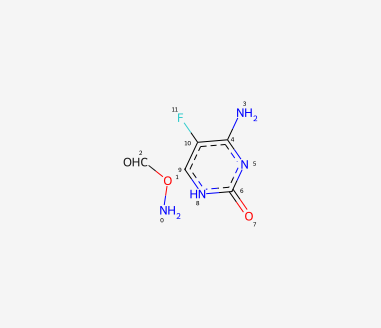 NOC=O.Nc1nc(=O)[nH]cc1F